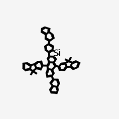 CC1(C)c2ccccc2-c2ccc(-c3c4ccc(-c5ccc6ccccc6c5)cc4c(-c4ccc5c(c4)C(C)(C)c4ccccc4-5)c4cc5c(cc34)-c3ccc(-c4ccc6ccccc6c4)cc3[Si]5(C)C)cc21